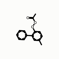 CC(=O)OOc1ccc(C)cc1-c1ccccc1